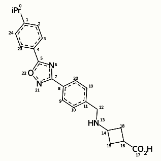 CC(C)c1ccc(-c2nc(-c3ccc(CNC4CC(C(=O)O)C4)cc3)no2)cc1